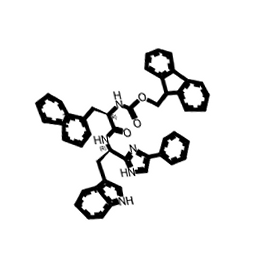 O=C(N[C@H](Cc1cccc2ccccc12)C(=O)N[C@H](Cc1c[nH]c2ccccc12)c1nc(-c2ccccc2)c[nH]1)OCC1c2ccccc2-c2ccccc21